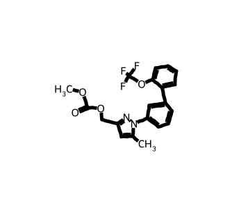 COC(=O)OCc1cc(C)n(-c2cccc(-c3ccccc3OC(F)(F)F)c2)n1